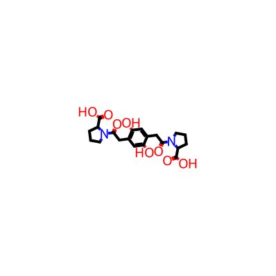 O=C(O)C1CCCN1C(=O)Cc1cc(O)c(CC(=O)N2CCCC2C(=O)O)cc1O